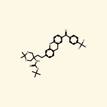 CC(C)(C)OC(=O)NC1(CCc2ccc3c(c2)Sc2ccc(C(=O)c4ccc(C(F)(F)F)cc4)cc2C3)COC(C)(C)OC1